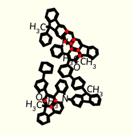 CC1(C)c2ccccc2-c2ccc(N(c3ccc4c(c3)C(C)(c3ccc(-c5cccc6c5oc5ccc(-c7ccccc7)c(-c7ccccc7N(c7ccc8c(c7)C(C)(C)c7ccccc7-8)c7ccc8c(c7)C(C)(c7ccccc7)c7ccccc7-8)c56)cc3)c3ccccc3-4)c3ccccc3-c3cccc4oc5ccc(-c6ccccc6)cc5c34)cc21